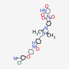 C[C@@H]1CN(c2ccc3c(c2)C(=O)N(C2CCC(=O)NC2=O)C3=O)C[C@@H](C)N1CCc1ccc(C(=O)N[C@H]2CC[C@H](Oc3ccc(C#N)c(Cl)c3)CC2)cc1